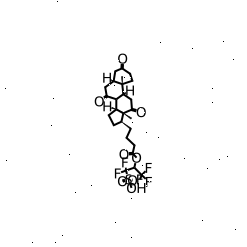 C[C@]12CCC(=O)C[C@H]1CC(=O)C1[C@H]2CC(=O)[C@]2(C)[C@@H](CCCC(=O)OC(C(F)(F)F)C(F)(F)S(=O)(=O)O)CC[C@H]12